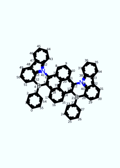 c1ccc(B2c3c(c4cccc5c6c(c7cccc3c7c45)B(c3ccccc3)c3cccc4c5ccccc5n-6c34)-n3c4ccccc4c4cccc2c43)cc1